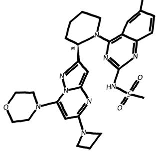 CS(=O)(=O)Nc1nc(N2CCCC[C@@H]2c2cc3nc(N4CCC4)cc(N4CCOCC4)n3n2)c2cc(Cl)ccc2n1